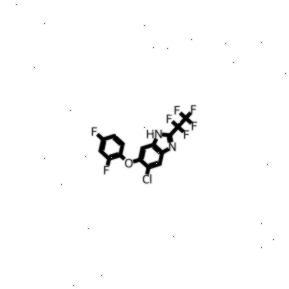 Fc1ccc(Oc2cc3[nH]c(C(F)(F)C(F)(F)F)nc3cc2Cl)c(F)c1